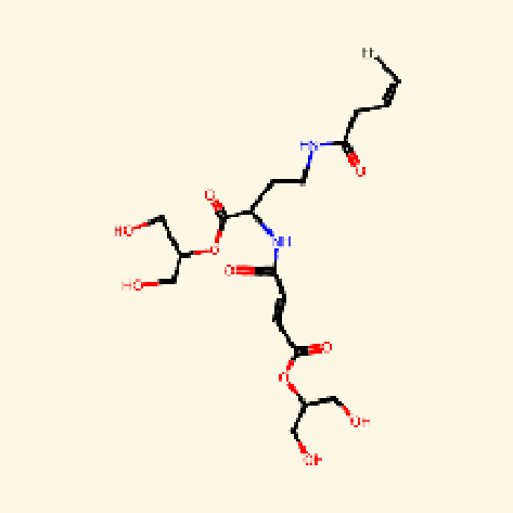 CC/C=C\CC(=O)NCCC(NC(=O)/C=C/C(=O)OC(CO)CO)C(=O)OC(CO)CO